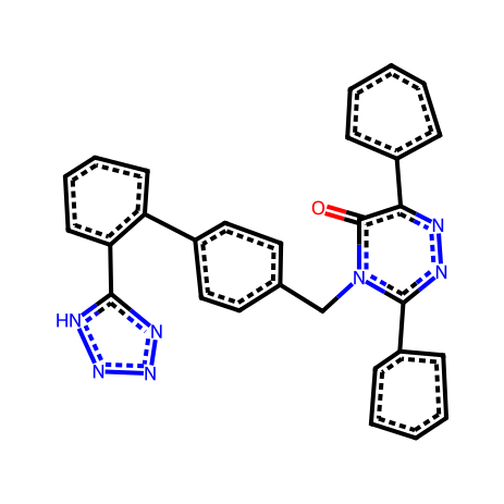 O=c1c(-c2ccccc2)nnc(-c2ccccc2)n1Cc1ccc(-c2ccccc2-c2nnn[nH]2)cc1